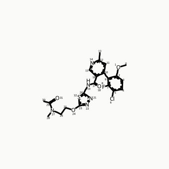 COc1ccc(Cl)c(F)c1-c1cc(C)ncc1C(=O)Nc1nnc(OCCN(C)C(C)=O)s1